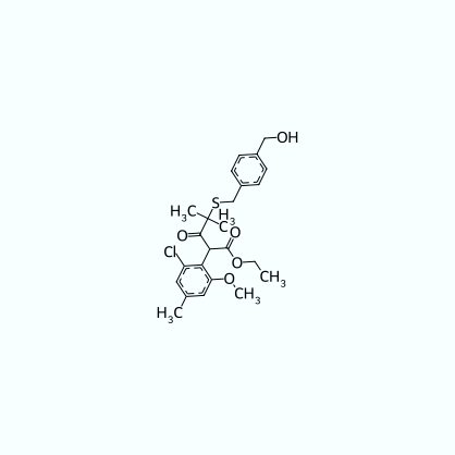 CCOC(=O)C(C(=O)C(C)(C)SCc1ccc(CO)cc1)c1c(Cl)cc(C)cc1OC